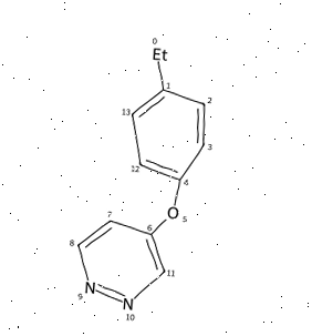 CCc1ccc(Oc2ccnnc2)cc1